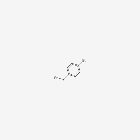 CCc1ccc([CH]C(C)C)cc1